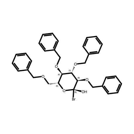 O[C@@]1(Br)O[C@H](COCc2ccccc2)[C@@H](OCc2ccccc2)[C@H](OCc2ccccc2)[C@H]1OCc1ccccc1